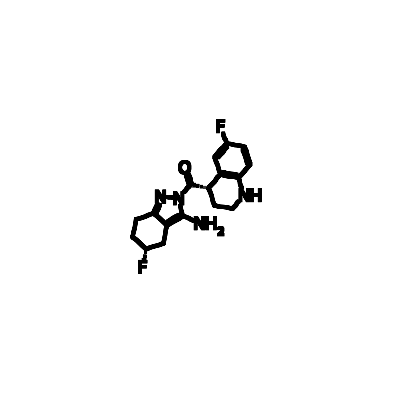 Nc1c2c(nn1C(=O)[C@H]1CCNc3ccc(F)cc31)CC[C@@H](F)C2